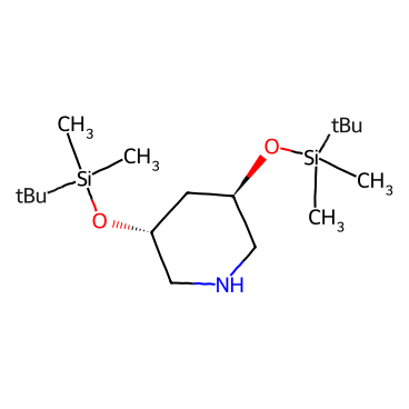 CC(C)(C)[Si](C)(C)O[C@H]1CNC[C@H](O[Si](C)(C)C(C)(C)C)C1